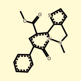 COC(=O)c1cc(-c2ccccc2)c(=O)n2c1-c1sccc1CN2C